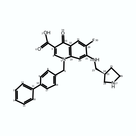 O=C(O)c1cn(Cc2ccc(-c3ccccc3)cc2)c2cc(NC[C@H]3CCNC3)c(F)cc2c1=O